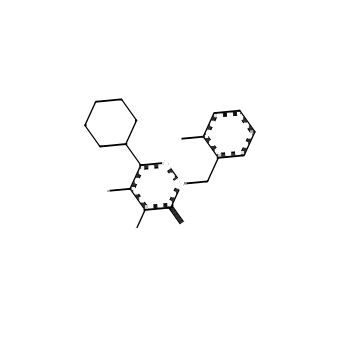 CCOC(=O)c1c(O)c(C2CCCCC2)nn(Cc2ccccc2F)c1=O